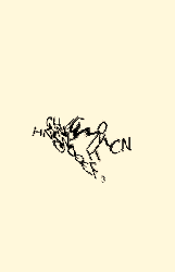 Cc1c[nH]c2c(=O)n(-c3ccc(OCC(F)(F)F)cc3)c(SCCCC(=O)NCCC#N)nc12